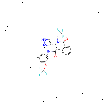 O=C(Nc1cc(F)cc(OC(F)(F)F)c1)[C@@H]1c2ccccc2C(=O)N(CC(F)(F)F)[C@H]1c1cn[nH]c1